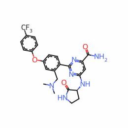 CN(C)Cc1cc(Oc2ccc(C(F)(F)F)cc2)ccc1-c1nc(N[C@H]2CCNC2=O)cc(C(N)=O)n1